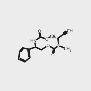 C#CCN(C)C(=O)OCC(NC(=O)OC(C)(C)C)c1ccccc1